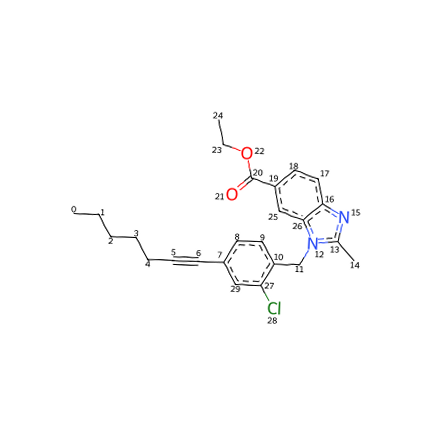 CCCCCC#Cc1ccc(Cn2c(C)nc3ccc(C(=O)OCC)cc32)c(Cl)c1